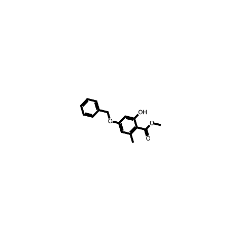 COC(=O)c1c(C)cc(OCc2ccccc2)cc1O